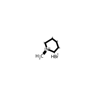 Br.C=[N+]1CCCCC1